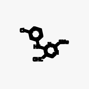 CSc1ncc(C=O)c(Nc2cccc(Cl)c2)n1